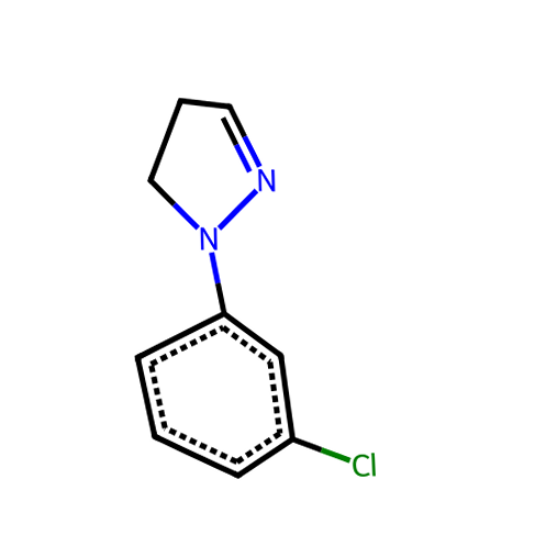 Clc1cccc(N2CCC=N2)c1